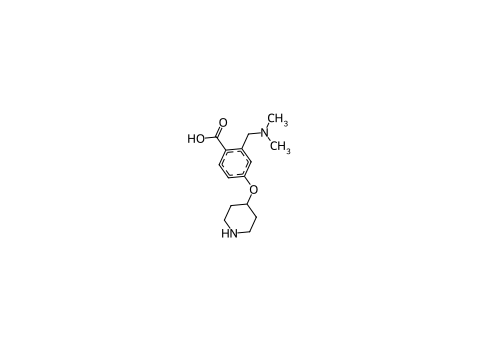 CN(C)Cc1cc(OC2CCNCC2)ccc1C(=O)O